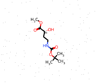 COC(=O)[C@H](O)CCNC(=O)OC(C)(C)C